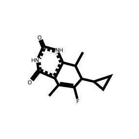 CC1=C(F)C(C2CC2)C(C)c2[nH]c(=O)[nH]c(=O)c21